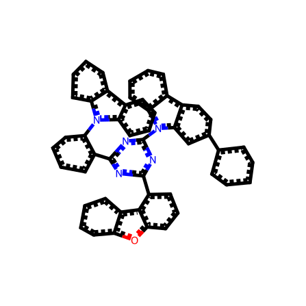 c1ccc(-c2ccc3c4ccccc4n(-c4nc(-c5ccccc5-n5c6ccccc6c6ccccc65)nc(-c5cccc6oc7ccccc7c56)n4)c3c2)cc1